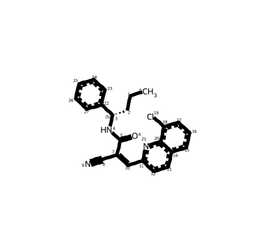 CCC[C@H](NC(=O)C(C#N)=Cc1ccc2cccc(Cl)c2n1)c1ccccc1